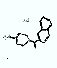 Cl.NC1CCN(C(=O)c2ccc3ccccc3c2)CC1